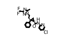 Cc1nc(C(F)F)nn1CC[C@@]1(c2ccccc2)C[C@H]1C(=O)Nc1ccc(Cl)cn1